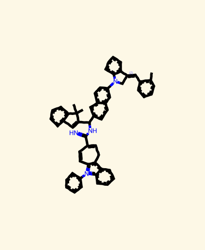 Cc1ccccc1/C=C1\CN(c2ccc3cc(C(NC(=N)C4=CCc5c(n(-c6ccccc6)c6ccccc56)C=C4)C4=Cc5ccccc5C4(C)C)ccc3c2)c2ccccc21